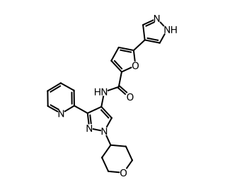 O=C(Nc1cn(C2CCOCC2)nc1-c1ccccn1)c1ccc(-c2cn[nH]c2)o1